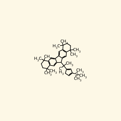 CC1(C)CCC(C)(C)c2cc3c(cc21)-c1cc2c(cc1C3C(C)(C)C1=CC([Si](C)(C)C)=CC1)C(C)(C)CCC2(C)C